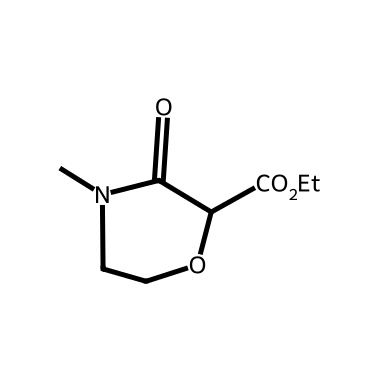 CCOC(=O)C1OCCN(C)C1=O